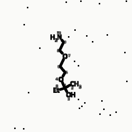 CCC(C)(O)OCCOCCN